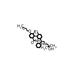 COCCOc1ccc(C(N)=O)c(-c2cc(C(CNCC(C)(C)O)c3ccccc3)ccc2Cl)c1F